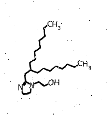 CCCCCCCCC(CCCCCCCC)CC1=NCCN1CCO